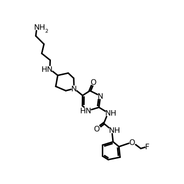 NCCCCNC1CCN(c2c[nH]c(NC(=O)Nc3ccccc3OCF)nc2=O)CC1